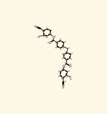 N#Cc1ccc(OC(=O)c2ccc(Cc3ccc(C(=O)Oc4ccc(C#N)c(F)c4)cc3)cc2)cc1F